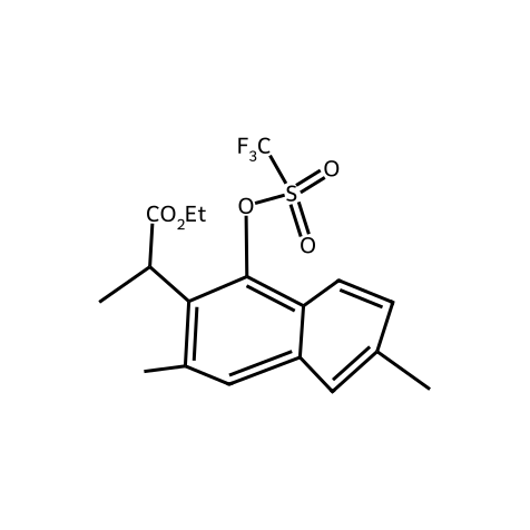 CCOC(=O)C(C)c1c(C)cc2cc(C)ccc2c1OS(=O)(=O)C(F)(F)F